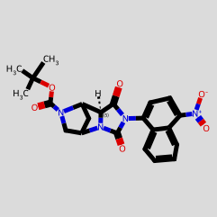 CC(C)(C)OC(=O)N1CC2CC1[C@H]1C(=O)N(c3ccc([N+](=O)[O-])c4ccccc34)C(=O)N21